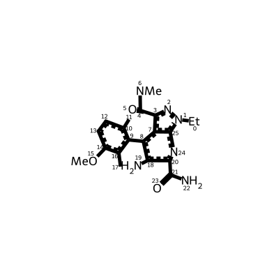 CCn1nc(C(=O)NC)c2c(-c3c(C)ccc(OC)c3C)c(N)c(C(N)=O)nc21